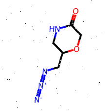 [N-]=[N+]=NCC1CNC(=O)CO1